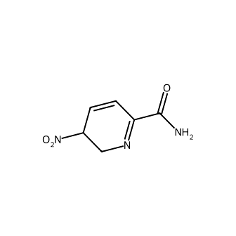 NC(=O)C1=NCC([N+](=O)[O-])C=C1